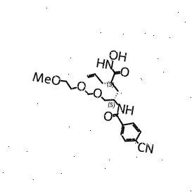 C=CC[C@@H](C[C@@H](COCOCCOC)NC(=O)c1ccc(C#N)cc1)C(=O)NO